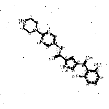 O=C(Nc1cnc(N2CCNCC2)nc1)c1cc(C(=O)c2c(F)cccc2Cl)c[nH]1